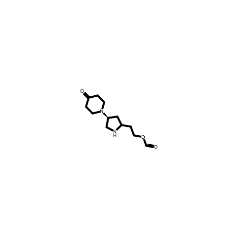 O=COCCC1C[C@H](N2CCC(=O)CC2)CN1